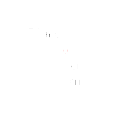 C=CCCCCCC.CCOCC